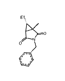 CC[C@H]1C2C(=O)N(Cc3ccccc3)C(=O)C21C